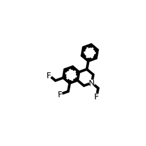 FCc1ccc2c(c1CF)CN(CF)CC2c1ccccc1